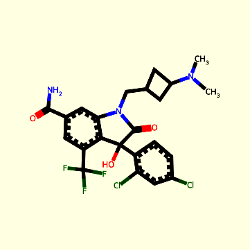 CN(C)C1CC(CN2C(=O)C(O)(c3ccc(Cl)cc3Cl)c3c2cc(C(N)=O)cc3C(F)(F)F)C1